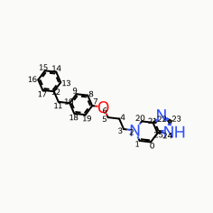 C1=CN(CCCOc2ccc(Cc3ccccc3)cc2)Cc2nc[nH]c21